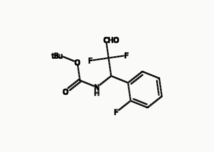 CC(C)(C)OC(=O)NC(c1ccccc1F)C(F)(F)C=O